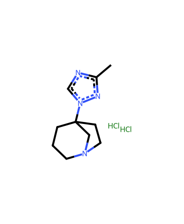 Cc1ncn(C23CCCN(CC2)C3)n1.Cl.Cl